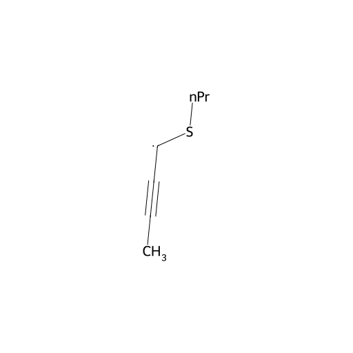 CC#C[CH]SCCC